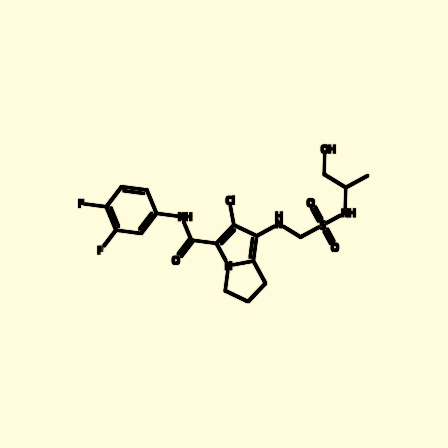 CC(CO)NS(=O)(=O)CNc1c(Cl)c(C(=O)Nc2ccc(F)c(F)c2)n2c1CCC2